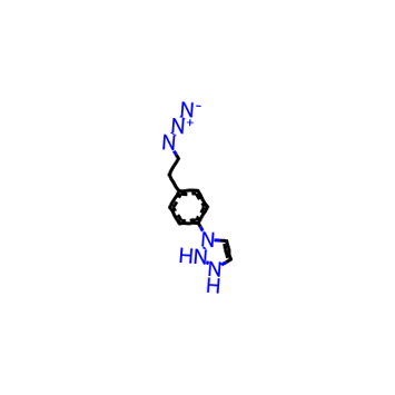 [N-]=[N+]=NCCc1ccc(N2C=CNN2)cc1